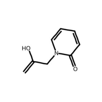 C=C(O)Cn1ccccc1=O